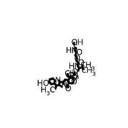 CCc1c2c(nc3ccc(O)cc13)-c1cc3c(c(=O)n1C2)COC(=O)C3(CC)OC(=O)OCC(NC(=O)COCC(=O)NSCO)C(C)C